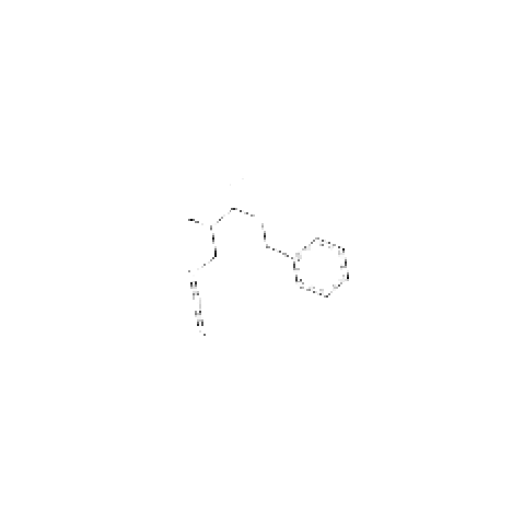 C[C@H](CN=[N+]=[N-])[C@@H](OCc1ccccc1)C(=O)O